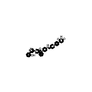 O=C1CC[C@H](c2ccc(N3CCC(CNC4CCC(NC(=O)C5(c6ccccc6)CCN(c6cnnc(-c7ccccc7O)c6)CC5)CC4)CC3)cc2)C(=O)N1